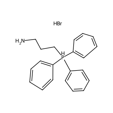 Br.NCCC[PH](c1ccccc1)(c1ccccc1)c1ccccc1